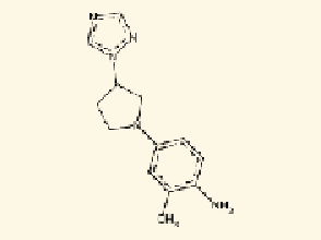 Cc1cc(N2CCC(n3cncn3)C2)ccc1N